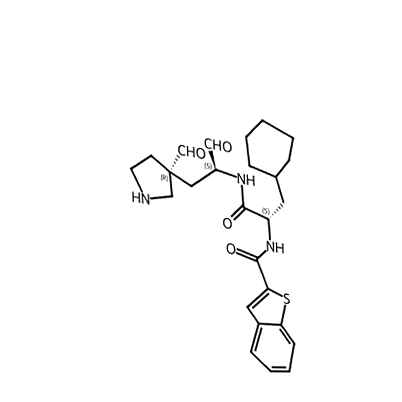 O=C[C@H](C[C@]1(C=O)CCNC1)NC(=O)[C@H](CC1CCCCC1)NC(=O)c1cc2ccccc2s1